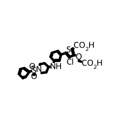 O=C(O)COc1c(C(=O)O)sc(-c2cccc(NC3CCN(S(=O)(=O)c4ccccc4)CC3)c2)c1Cl